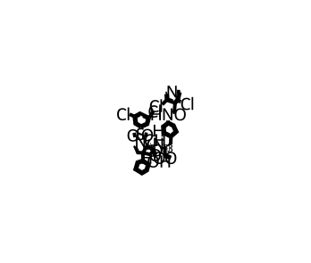 C[C@]1(C(=O)N[C@@H](Cc2ccc(NC(=O)c3c(Cl)cncc3Cl)cc2)C(=O)O)N(S(=O)(=O)c2cc(Cl)cc(Cl)c2)CCC1(C(=O)O)c1ccccc1